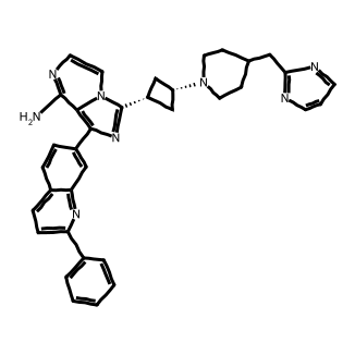 Nc1nccn2c1c(-c1ccc3ccc(-c4ccccc4)nc3c1)nc2[C@H]1C[C@@H](N2CCC(Cc3ncccn3)CC2)C1